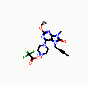 CC#CCn1c(=O)n(C)c2nc(OC(C)CC)nc(N3CCNCC3)c21.O=C(O)C(F)(F)F